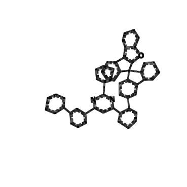 c1ccc(-c2cccc(-c3cc(-c4ccccc4-c4ccc5c(c4)-c4ccccc4C54c5ccccc5-c5c4oc4ccccc54)nc(-c4ccccc4)n3)c2)cc1